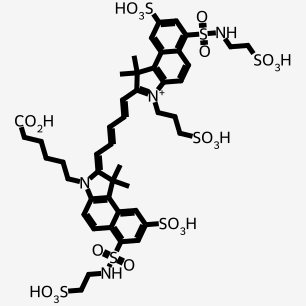 CC1(C)C(/C=C/C=C/C=C2/N(CCCCCC(=O)O)c3ccc4c(S(=O)(=O)NCCS(=O)(=O)O)cc(S(=O)(=O)O)cc4c3C2(C)C)=[N+](CCCS(=O)(=O)O)c2ccc3c(S(=O)(=O)NCCS(=O)(=O)O)cc(S(=O)(=O)O)cc3c21